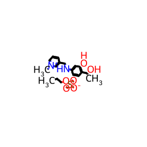 CC(O)c1ccc(NCc2ccc[n+](C)c2)cc1O.CCCOS(=O)(=O)[O-]